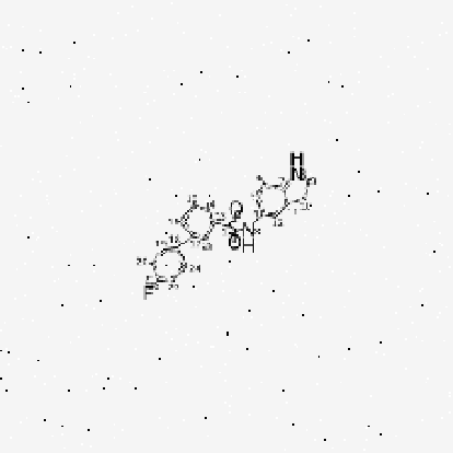 O=S(=O)(Nc1ccc2[nH]ccc2c1)c1cccc(-c2ccc(F)cc2)c1